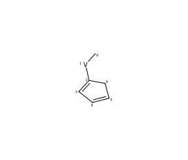 [CH3][V][C]1=CC=CC1